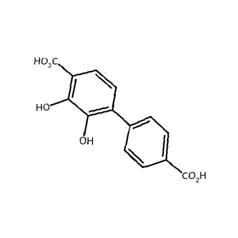 O=C(O)c1ccc(-c2ccc(C(=O)O)c(O)c2O)cc1